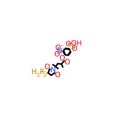 CC(CC(C)(C)N1C(=O)CC(SP)C1=O)C(=O)Oc1ccc(S(=O)(=O)O)cc1[N+](=O)[O-]